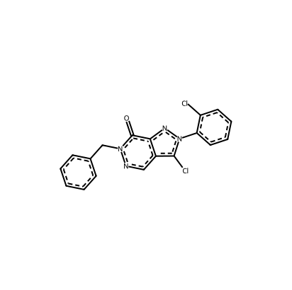 O=c1c2nn(-c3ccccc3Cl)c(Cl)c2cnn1Cc1ccccc1